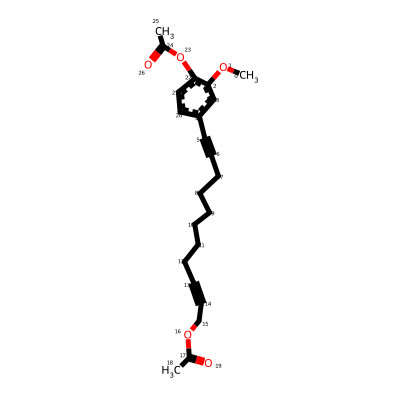 COc1cc(C#CCCCCCCC#CCOC(C)=O)ccc1OC(C)=O